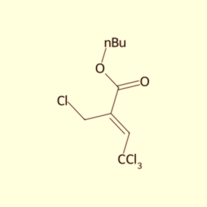 CCCCOC(=O)/C(=C/C(Cl)(Cl)Cl)CCl